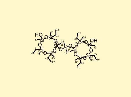 CC[Si]1(C)O[Si](C)(O)O[Si](C)(CC)O[Si](C)(O[Si](C)(C)O[Si]2(C)O[Si](C)(CC)O[Si](C)(O)O[Si](C)(CC)O[Si](C)(CC)O2)O[Si](C)(CC)O1